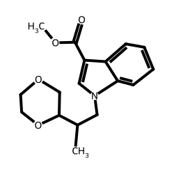 COC(=O)c1cn(CC(C)C2COCCO2)c2ccccc12